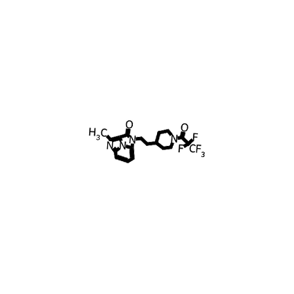 Cc1nc2cccc3n(CCC4CCN(C(=O)C(F)(F)C(F)(F)F)CC4)c(=O)c1n23